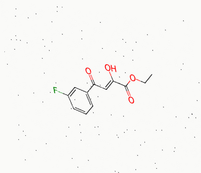 CCOC(=O)C(O)=CC(=O)c1cccc(F)c1